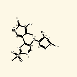 Cc1c(-c2nc(S(C)(=O)=O)ncc2Oc2ccc(F)cc2F)c[nH]c(=O)c1C(C)C